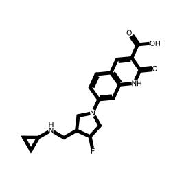 O=C(O)c1cc2ccc(N3CC(F)C(CNC4CC4)C3)cc2[nH]c1=O